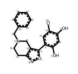 Oc1cc(O)c(-c2onc3c2CN(Cc2ccccc2)CC3)cc1Cl